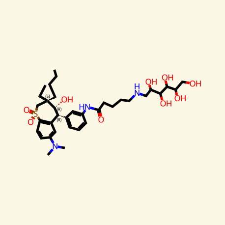 CCCC[C@]1(CC)CS(=O)(=O)c2ccc(N(C)C)cc2[C@@H](c2cccc(NC(=O)CCCCNCC(O)C(O)C(O)C(O)CO)c2)[C@H]1O